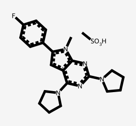 CS(=O)(=O)O.Cn1c(-c2ccc(F)cc2)cc2c(N3CCCC3)nc(N3CCCC3)nc21